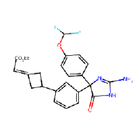 CCOC(=O)C=C1CC(c2cccc(C3(c4ccc(OC(F)F)cc4)N=C(N)NC3=O)c2)C1